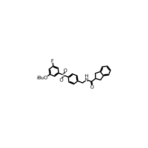 CC(C)COc1cc(F)cc(S(=O)(=O)c2ccc(CNC(=O)C3Cc4ccccc4C3)cc2)c1